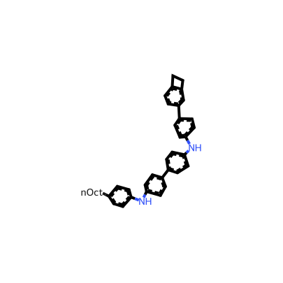 CCCCCCCCc1ccc(Nc2ccc(-c3ccc(Nc4ccc(-c5ccc6c(c5)CC6)cc4)cc3)cc2)cc1